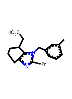 Cc1cccc(Cn2c(C(C)C)nc3c2C(CC(=O)O)CCC3)c1